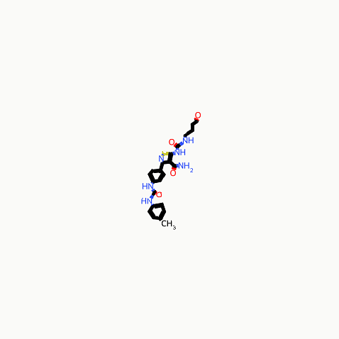 Cc1ccc(NC(=O)Nc2ccc(-c3nsc(NC(=O)NCCCC=O)c3C(N)=O)cc2)cc1